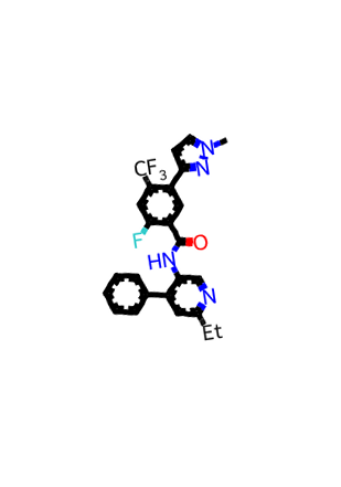 CCc1cc(-c2ccccc2)c(NC(=O)c2cc(-c3ccn(C)n3)c(C(F)(F)F)cc2F)cn1